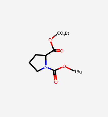 CCOC(=O)OC(=O)C1CCCN1C(=O)OC(C)(C)C